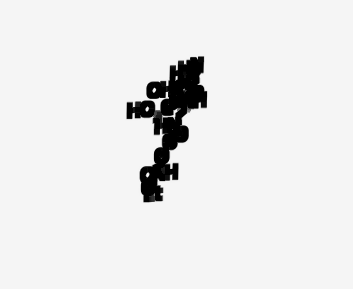 CCOCC(=O)NCCOCCOCC(=O)NCCC[C@H](NCC(=O)C(Cc1cnc[nH]1)NC=O)C(=O)CC(=O)O